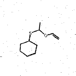 C=COC(C)SC1CCCCC1